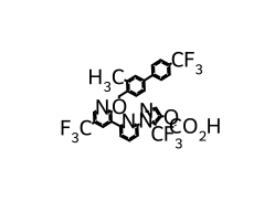 Cc1cc(-c2ccc(C(F)(F)F)cc2)ccc1COc1ncc(C(F)(F)F)cc1-c1cccc(-n2ncc(OC(=O)O)c2C(F)(F)F)n1